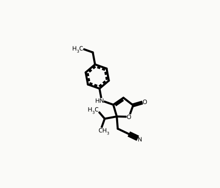 CCc1ccc(NC2=CC(=O)OC2(CC#N)C(C)C)cc1